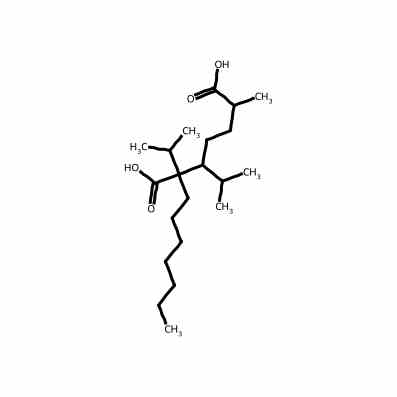 CCCCCCCC(C(=O)O)(C(C)C)C(CCC(C)C(=O)O)C(C)C